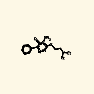 CCN(CC)CCSc1nnc(-c2ccccc2)c(=O)n1N